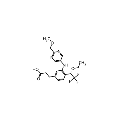 CCO[C@@H](c1ccc(CCC(=O)O)cc1Nc1cnc(COC)nc1)C(F)(F)F